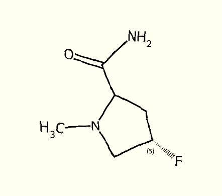 CN1C[C@@H](F)CC1C(N)=O